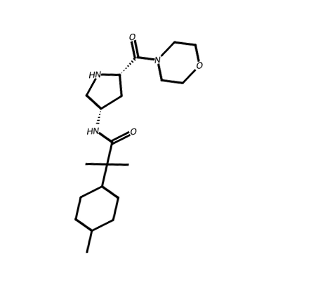 CC1CCC(C(C)(C)C(=O)N[C@@H]2CN[C@H](C(=O)N3CCOCC3)C2)CC1